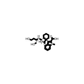 Cn1c(C(=O)O)c([C@]2(C(N)=O)CCCC[C@H]2C(=O)N[C@H](CO)CCO)c2ccccc21